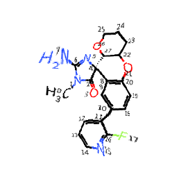 CN1C(=O)[C@@]2(N=C1N)c1cc(-c3cccnc3F)ccc1OC1CCCOC12